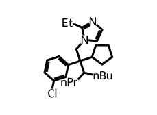 CCCCC(CCC)C(Cn1ccnc1CC)(c1cccc(Cl)c1)C1CCCC1